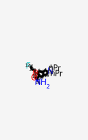 CCCN(CCC)C1Cc2cc(OCCCF)c(C(N)=O)cc2C1